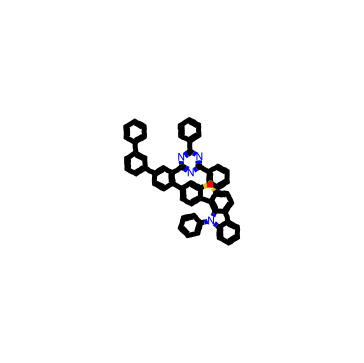 c1ccc(-c2cccc(-c3ccc(-c4ccc5c(c4)sc4ccc6c7ccccc7n(-c7ccccc7)c6c45)c(-c4nc(-c5ccccc5)nc(-c5ccccc5)n4)c3)c2)cc1